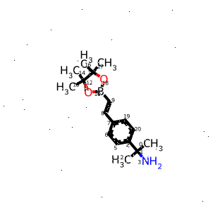 CC(C)(N)c1ccc(/C=C/B2OC(C)(C)C(C)(C)O2)cc1